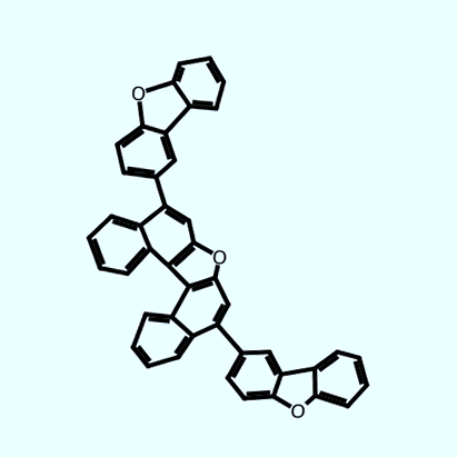 c1ccc2c(c1)oc1ccc(-c3cc4oc5cc(-c6ccc7oc8ccccc8c7c6)c6ccccc6c5c4c4ccccc34)cc12